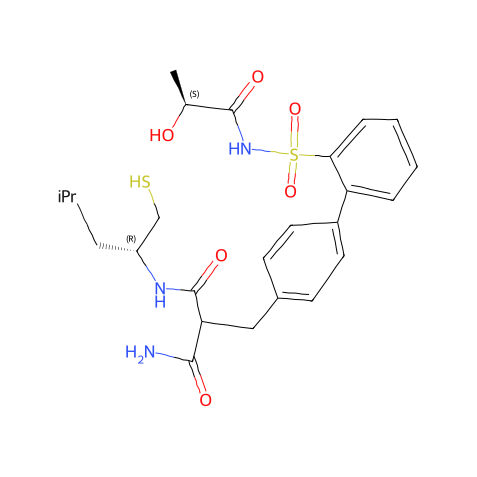 CC(C)C[C@H](CS)NC(=O)C(Cc1ccc(-c2ccccc2S(=O)(=O)NC(=O)[C@H](C)O)cc1)C(N)=O